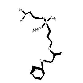 CCN(CC)CCO[Si](CCCSC(=O)COc1ccccc1)(OC)OC